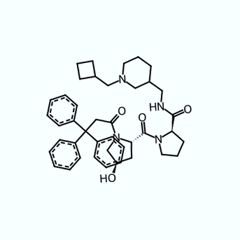 O=C(NCC1CCCN(CC2CCC2)C1)[C@H]1CCCN1C(=O)[C@@H]1C[C@@H](O)CN1C(=O)CC(c1ccccc1)(c1ccccc1)c1ccccc1